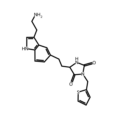 NCCc1c[nH]c2ccc(CCC3NC(=O)N(Cc4cccs4)C3=O)cc12